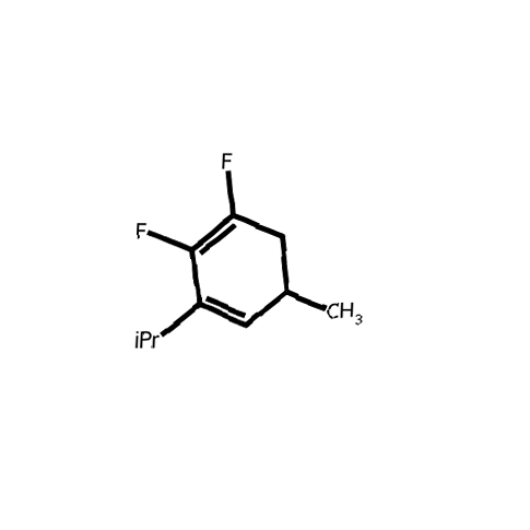 CC1C=C(C(C)C)C(F)=C(F)C1